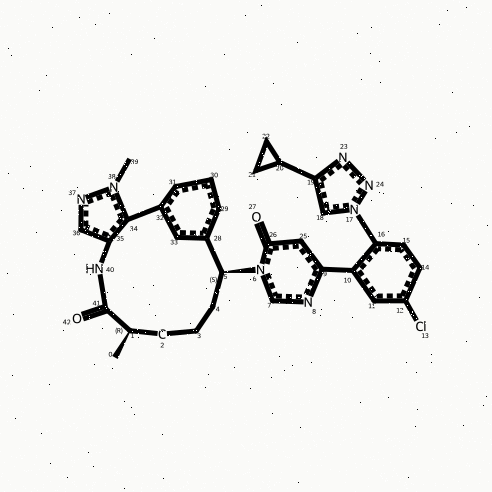 C[C@@H]1CCC[C@H](n2cnc(-c3cc(Cl)ccc3-n3cc(C4CC4)nn3)cc2=O)c2cccc(c2)-c2c(cnn2C)NC1=O